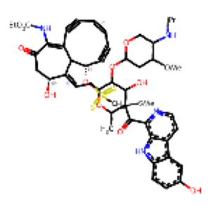 CCOC(=O)NC1=C2C#C/C=C\C#C[C@H](OC3OC(C)C(SC)(C(=O)c4nccc5c4[nH]c4ccc(O)cc45)C(O)C3OC3CC(OC)C(NC(C)C)CO3)C2/C(=C\CS(C)(=S)=S)[C@@H](O)CC1=O